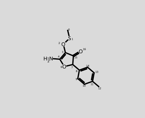 CSOC1=C(N)OC(c2ccc(C)cc2)C1=O